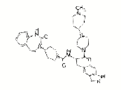 CN1CCC(N2CCN(C(=O)C(Cc3ccc4[nH]ncc4c3)NC(=O)N3CCC(N4CCc5ccccc5NC4=O)CC3)CC2)CC1